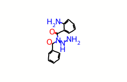 NNN(C(=O)c1ccccc1)C(=O)c1ccccc1N